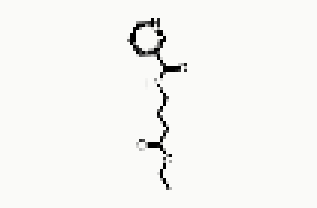 CCOC(=O)CCCNC(=O)c1cccnc1